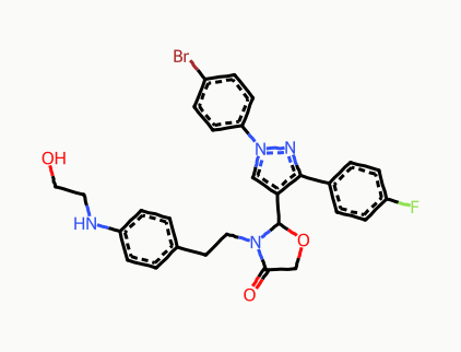 O=C1COC(c2cn(-c3ccc(Br)cc3)nc2-c2ccc(F)cc2)N1CCc1ccc(NCCO)cc1